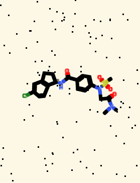 CN(C)C(=O)CN(c1ccc(C(=O)N[C@@H]2CCc3cc(Cl)ccc32)cc1)S(C)(=O)=O